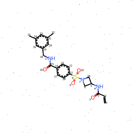 C=CC(=O)NC1CN(S(=O)(=O)c2ccc(C(=O)NCc3cc(C)cc(C)c3)cc2)C1